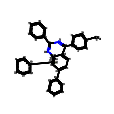 Cc1ccc(C2=NC(c3ccccc3)=NC34NC=C(c5ccccc5)C=C3C(c3ccccc3)=CC=C24)cc1